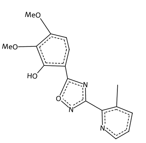 COc1ccc(-c2nc(-c3ncccc3C)no2)c(O)c1OC